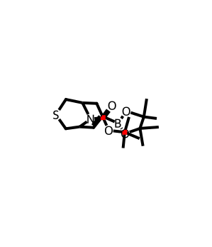 CC(C)(C)OC(=O)N1C2C=C(B3OC(C)(C)C(C)(C)O3)CC1CSC2